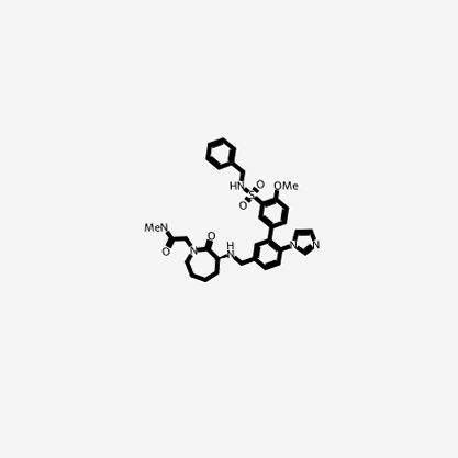 CNC(=O)CN1CCCC[C@H](NCc2ccc(-n3ccnc3)c(-c3ccc(OC)c(S(=O)(=O)NCc4ccccc4)c3)c2)C1=O